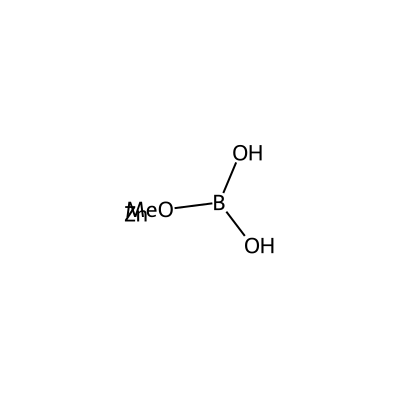 COB(O)O.[Zn]